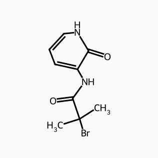 CC(C)(Br)C(=O)Nc1ccc[nH]c1=O